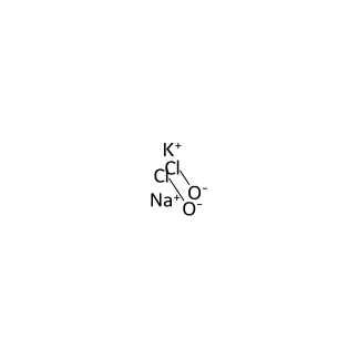 [K+].[Na+].[O-]Cl.[O-]Cl